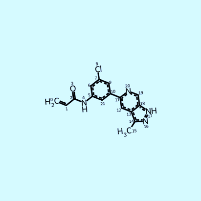 C=CC(=O)Nc1cc(Cl)cc(-c2cc3c(C)n[nH]c3cn2)c1